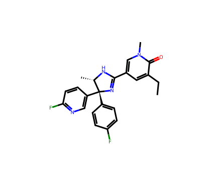 CCc1cc(C2=N[C@](c3ccc(F)cc3)(c3ccc(F)nc3)[C@H](C)N2)cn(C)c1=O